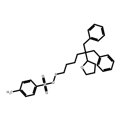 Cc1ccc(S(=O)(=O)OSCCCCC(Cc2ccccc2)(Cc2ccccc2)C2CCCO2)cc1